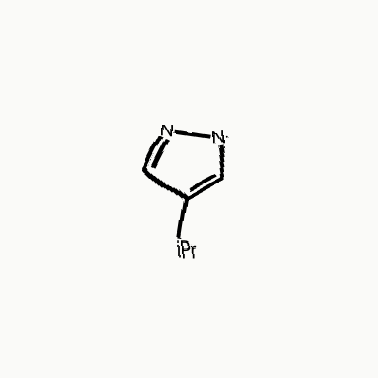 CC(C)C1=C[N]N=C1